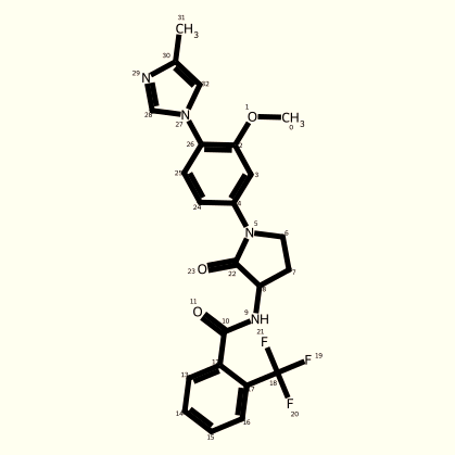 COc1cc(N2CCC(NC(=O)c3ccccc3C(F)(F)F)C2=O)ccc1-n1cnc(C)c1